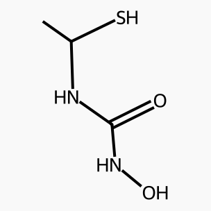 CC(S)NC(=O)NO